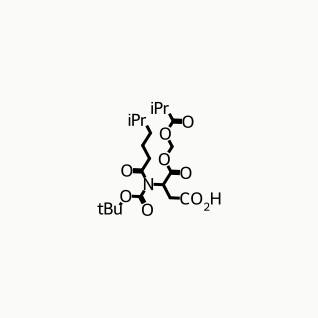 CC(C)CCCC(=O)N(C(=O)OC(C)(C)C)C(CC(=O)O)C(=O)OCOC(=O)C(C)C